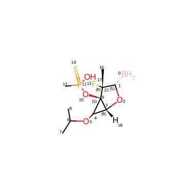 B[C@@H]1O[C@@H]2C(OC(C)C)[C@]2(OP(C)(O)=S)[C@]1(C)F